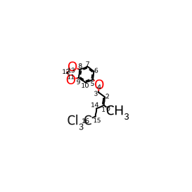 CC(=CCOc1ccc2c(c1)OCO2)CCC(Cl)(Cl)Cl